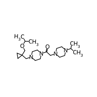 CC(C)OCC1(CN2CCN(C(=O)CN3CCN(C(C)C)CC3)CC2)CC1